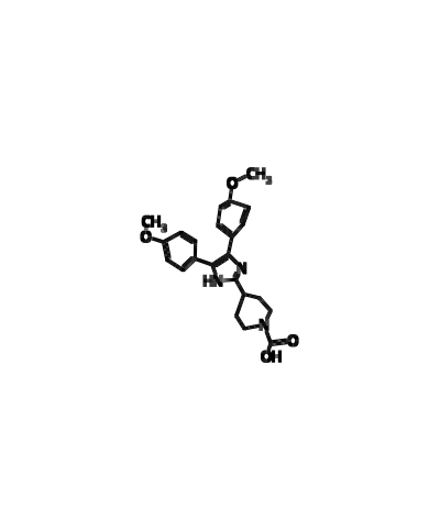 COc1ccc(-c2nc(C3CCN(C(=O)O)CC3)[nH]c2-c2ccc(OC)cc2)cc1